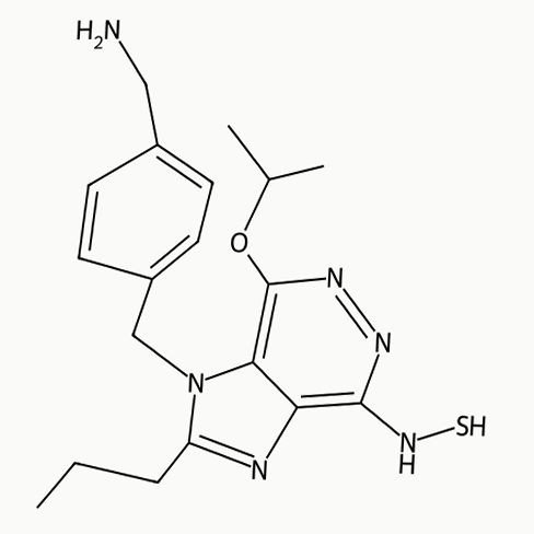 CCCc1nc2c(NS)nnc(OC(C)C)c2n1Cc1ccc(CN)cc1